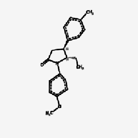 CC[C@H]1[C@H](c2ccc(C)cc2)CC(=O)N1c1ccc(OC)cc1